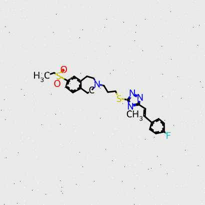 CCS(=O)(=O)c1ccc2c(c1)CCN(CCCSc1nnc(C=Cc3ccc(F)cc3)n1C)CC2